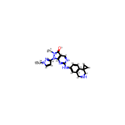 CC(C)n1c(=O)c2cnc(Nc3ccc4c(c3)CNCC43CC3)nc2n1-c1ccn(C(C)(C)C)n1